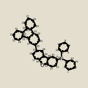 c1ccc(N(c2ccccc2)c2ccc3oc4ccc(-c5ccc6c7ccccc7c7ccccc7c6c5)cc4c3c2)cc1